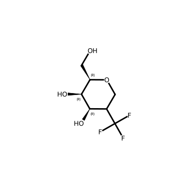 OC[C@H]1OCC(C(F)(F)F)[C@@H](O)[C@H]1O